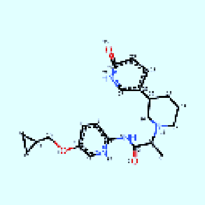 CC(C(=O)Nc1ccc(OCC2CC2)cn1)N1CCCC(c2ccc(=O)[nH]c2)C1